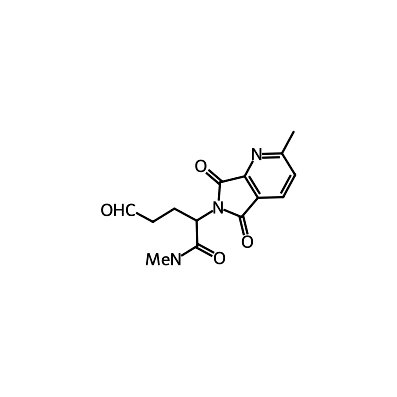 CNC(=O)C(CCC=O)N1C(=O)c2ccc(C)nc2C1=O